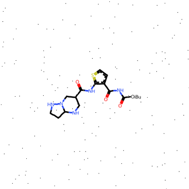 CC(C)COC(=O)NC(=O)c1ccsc1NC(=O)C1CNC2CCNN2C1